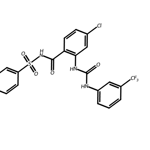 O=C(Nc1cccc(C(F)(F)F)c1)Nc1cc(Cl)ccc1C(=O)NS(=O)(=O)c1ccccc1